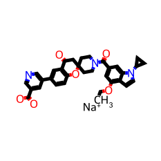 CCOc1cc(C(=O)N2CCC3(CC2)CC(=O)c2cc(-c4cncc(C(=O)[O-])c4)ccc2O3)cc2c1ccn2C1CC1.[Na+]